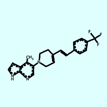 Cc1c(N2CC=C(C=Cc3ccc(C(F)(F)F)cc3)CC2)cnc2[nH]ccc12